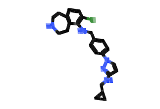 Clc1ccc2c(c1NCc1ccc(-n3ccc(NCC4CC4)n3)cc1)CCNCC2